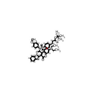 CCN(CC)c1ccc2c(C(=O)N(c3ccc(OC)cc3)S(=O)(=O)c3ccc(CCC(=O)OC(C)(C)C)cc3)c(-c3nc4ccccc4s3)c(=O)oc2c1